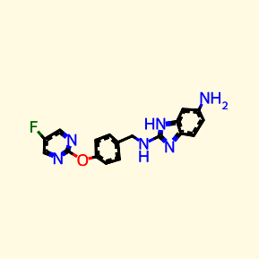 Nc1ccc2nc(NCc3ccc(Oc4ncc(F)cn4)cc3)[nH]c2c1